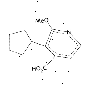 COc1nccc(C(=O)O)c1C1CCCC1